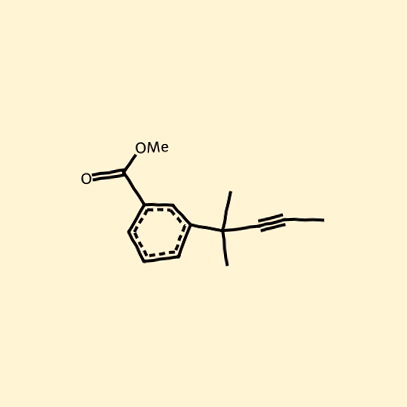 CC#CC(C)(C)c1cccc(C(=O)OC)c1